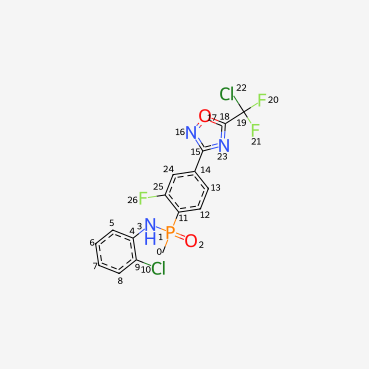 CP(=O)(Nc1ccccc1Cl)c1ccc(-c2noc(C(F)(F)Cl)n2)cc1F